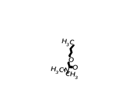 CCCCCOCC(=O)N(C)C